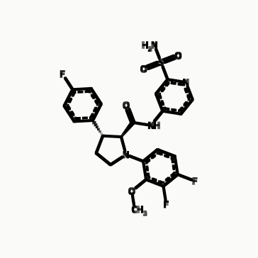 COc1c(N2CC[C@H](c3ccc(F)cc3)[C@H]2C(=O)Nc2ccnc(S(N)(=O)=O)c2)ccc(F)c1F